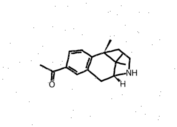 CC(=O)c1ccc2c(c1)C[C@H]1NCC[C@]2(C)C1(C)C